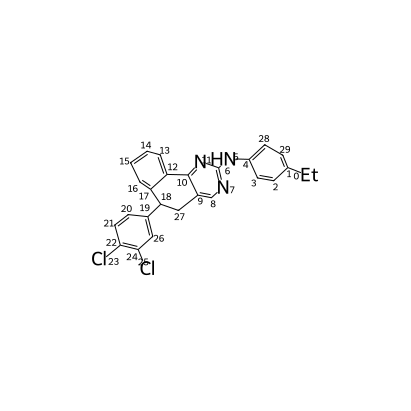 [CH2]Cc1ccc(Nc2ncc3c(n2)-c2ccccc2C(c2ccc(Cl)c(Cl)c2)C3)cc1